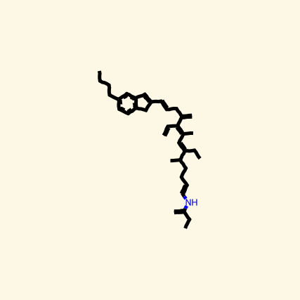 C=C/C(C(=C)C/C=C/C1=Cc2cc(CCCC)ccc2C1)=C(C)\C=C(/CC)C(C)CC/C=C/NC(=C)CC